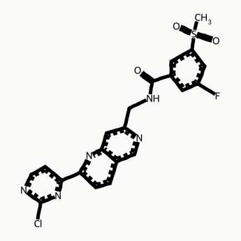 CS(=O)(=O)c1cc(F)cc(C(=O)NCc2cc3nc(-c4ccnc(Cl)n4)ccc3cn2)c1